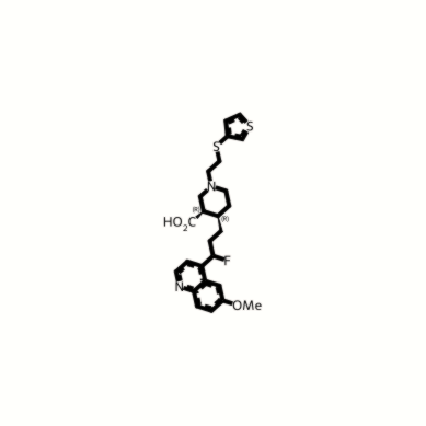 COc1ccc2nccc(C(F)CC[C@@H]3CCN(CCSc4ccsc4)C[C@@H]3C(=O)O)c2c1